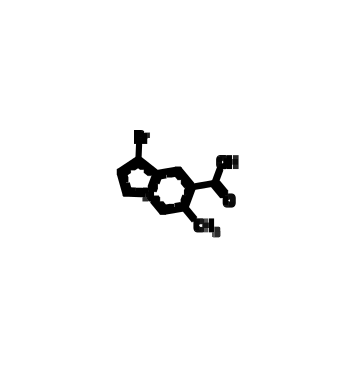 Cc1cn2ccc(Br)c2cc1C(=O)O